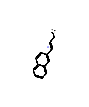 BrC/C=C/c1ccc2ccccc2c1